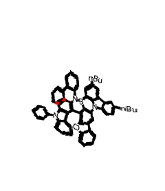 CCCCc1ccc2c(c1)c1cc(CCCC)cc3c1n2-c1cc2c(oc4ccccc42)c2c1B3N(c1ccccc1-c1ccccc1)c1ccc3c(c1-2)c1ccccc1n3-c1ccccc1